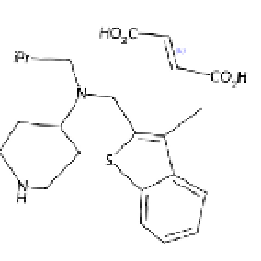 Cc1c(CN(CC(C)C)C2CCNCC2)sc2ccccc12.O=C(O)/C=C/C(=O)O